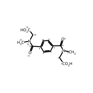 CN(CC(=O)O)C(=O)c1ccc(C(=O)N(C)CC(=O)O)cc1